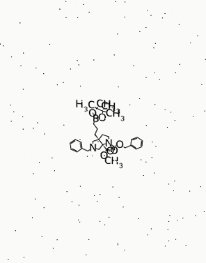 COC(=O)[C@@]12CN(Cc3ccccc3)C[C@]1(CCCB1OC(C)(C)C(C)(C)O1)CCN2C(=O)OCc1ccccc1